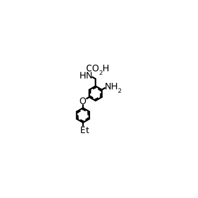 CCc1ccc(Oc2ccc(N)c(CNC(=O)O)c2)cc1